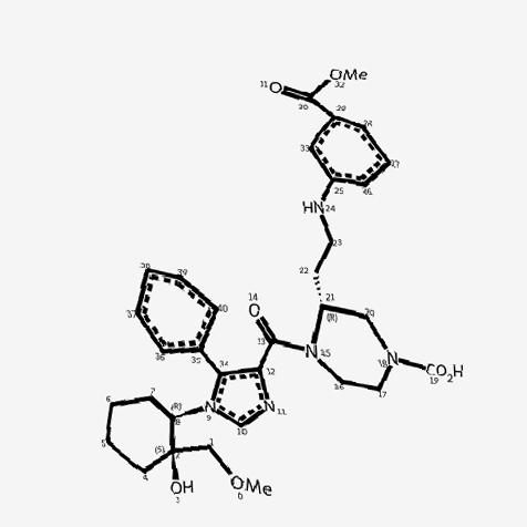 COC[C@]1(O)CCCC[C@H]1n1cnc(C(=O)N2CCN(C(=O)O)C[C@H]2CCNc2cccc(C(=O)OC)c2)c1-c1ccccc1